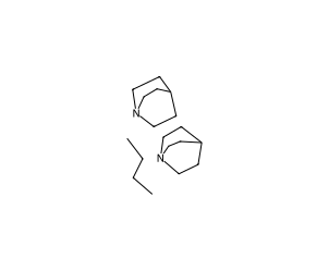 C1CN2CCC1CC2.C1CN2CCC1CC2.CCCC